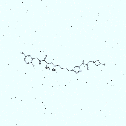 N/C(=C\N(N)CCCCn1cc(NC(=O)CN2CC(F)C2)nn1)C(=O)NCc1cc(Cl)ccc1F